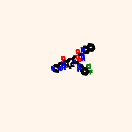 CN(C(=O)NCc1cccc(F)c1Cl)[C@@H](CCC(=O)NCc1cnccn1)COC(=O)Nc1cc2ccccc2cn1